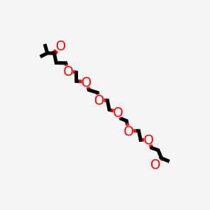 CC(=O)CCOCCOCCOCCOCCOCCOCCC(=O)C(C)C